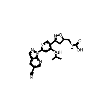 CC(C)[AsH]c1cc(-n2ncc3cc(C#N)cnc32)ncc1C1=NOC(CNC(=O)O)C1